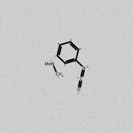 CNC.O=C=Nc1ccccc1